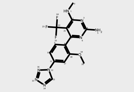 CNc1nc(N)nc(-c2ccc(-n3cnnn3)cc2OC)c1C(F)(F)F